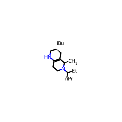 CCCC(CC)N1CCC2=C(C[C@H]([C@H](C)CC)CN2)[C@H]1C